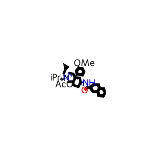 COc1cccc([C@]23CC[N@+](CC(C)C)(CC4CC4)CC2(OC(C)=O)CC[C@H](NC(=O)c2ccc4ccccc4c2)C3)c1